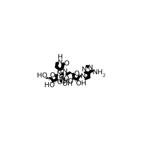 Nc1ncnc2c1ccn2[C@@H]1O[C@H](CCOP(=O)(O)O[C@@H]2[C@H](O)[C@@H](CO)O[C@H]2n2cnc3c(=O)[nH]ccc32)[C@@H](O)[C@H]1O